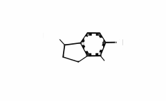 CC1CCc2c1ccc(Cl)c2Cl